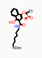 CCCCCCCCCCCCCCCCNC(=O)c1cc(OC(CC)=S(=O)=O)c2ccccc2c1O